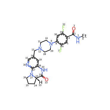 CCNC(=O)c1cc(F)c(N2CCN(Cc3cnc4c(c3)NC(=O)[C@@H]3CCCN43)CC2)cc1F